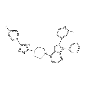 Cc1cc(-c2cc3c(N4CCC(c5nnc(-c6ccc(F)cc6)[nH]5)CC4)ncnc3n2-c2ccccc2)ccn1